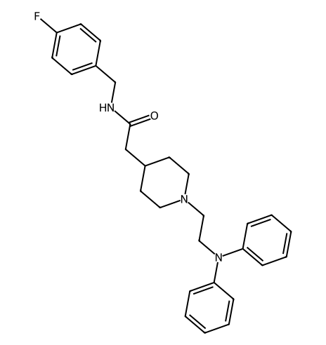 O=C(CC1CCN(CCN(c2ccccc2)c2ccccc2)CC1)NCc1ccc(F)cc1